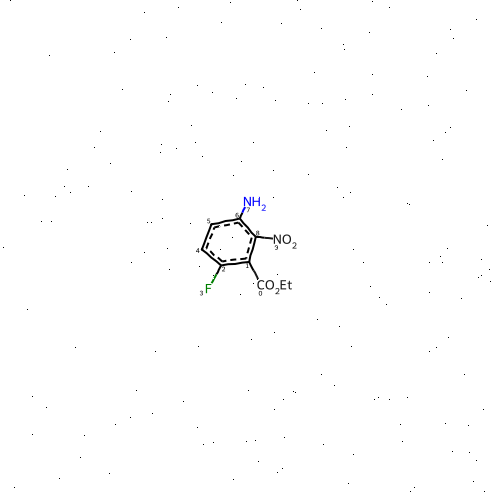 CCOC(=O)c1c(F)ccc(N)c1[N+](=O)[O-]